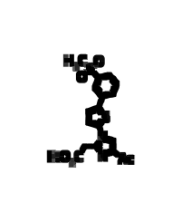 CCOC(=O)Cc1nc(C(C)=O)cn1-c1ccc(-c2cccc(S(C)(=O)=O)c2)s1